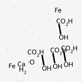 O=C(O)O.O=C(O)O.O=C(O)O.O=C(O)O.[CaH2].[Fe].[Fe].[O]